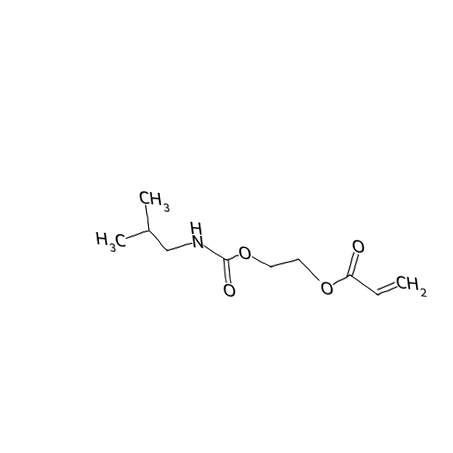 C=CC(=O)OCCOC(=O)NCC(C)C